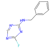 FC1=N[C]=[N+]C(NCc2ccccc2)=N1